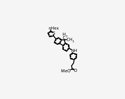 CCCCCCc1ccc(-c2ccc3c(c2)C(C)(C)c2cc(Nc4ccc(CCC(=O)OC)cc4)ccc2-3)s1